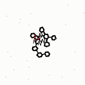 c1ccc(-c2cccc(-c3cccc(-c4nc(-c5ccccc5)nc(-n5c6ccccc6c6c(-c7ccccc7)cc7c8ccccc8n(-c8ccccc8)c7c65)n4)c3)c2)cc1